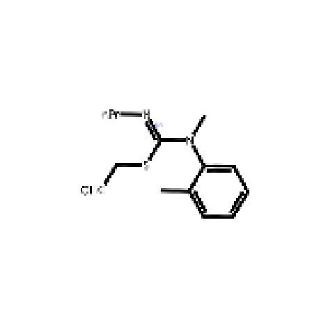 CCC/N=C(\SCC=O)N(C)c1ccccc1C